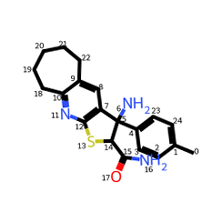 Cc1ccc(C2(N)c3cc4c(nc3SC2C(N)=O)CCCCC4)cc1